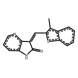 Cc1c(C=C2C(=O)Nc3cccnc32)sc2ccccc12